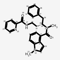 CN(C(=O)c1cccc2c1ccn2C)[C@H](CCNC(=O)c1ccccn1)Cc1ccccc1